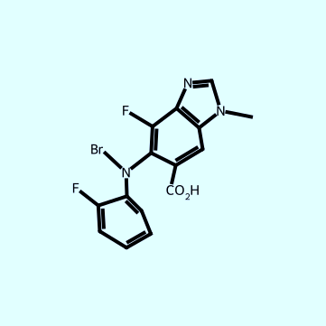 Cn1cnc2c(F)c(N(Br)c3ccccc3F)c(C(=O)O)cc21